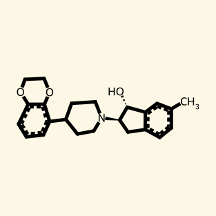 Cc1ccc2c(c1)[C@@H](O)[C@H](N1CCC(c3cccc4c3OCCO4)CC1)C2